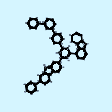 C1=Cc2oc3cccc(-c4nc(-c5ccc(-c6cccc(-c7ccccc7)c6)cc5)nc(-c5ccc6c(c5)oc5cc(-c7ccccc7)ccc56)n4)c3c2CC1